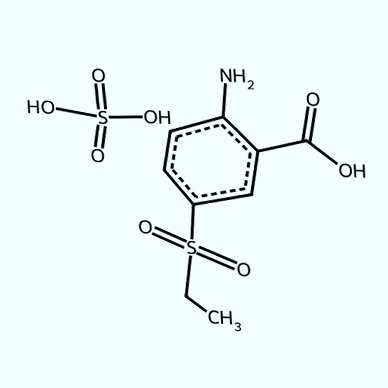 CCS(=O)(=O)c1ccc(N)c(C(=O)O)c1.O=S(=O)(O)O